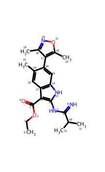 CCOC(=O)c1c(NC(=N)C(C)C)[nH]c2cc(-c3c(C)noc3C)c(C)cc12